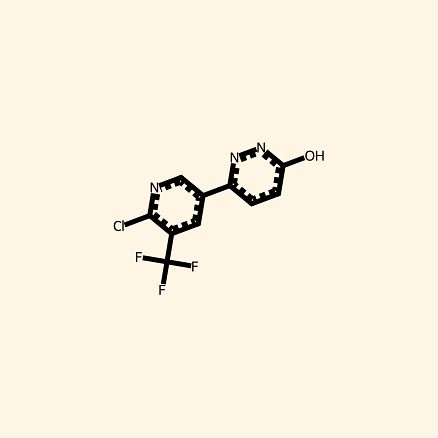 Oc1ccc(-c2cnc(Cl)c(C(F)(F)F)c2)nn1